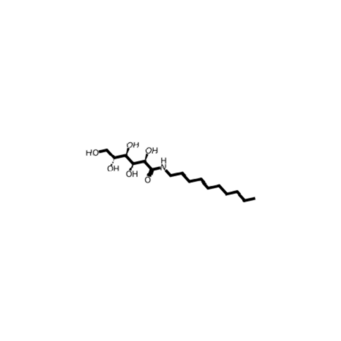 CCCCCCCCCCNC(=O)[C@H](O)[C@@H](O)[C@H](O)[C@H](O)CO